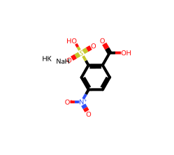 O=C(O)c1ccc([N+](=O)[O-])cc1S(=O)(=O)O.[KH].[NaH]